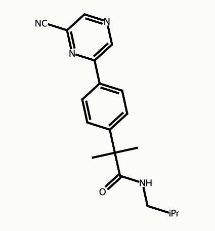 CC(C)CNC(=O)C(C)(C)c1ccc(-c2cncc(C#N)n2)cc1